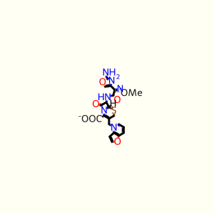 CO/N=C(\C(=O)NC1C(=O)N2C(C(=O)[O-])=C(C[n+]3cccc4occc43)CS[C@H]12)c1coc(N)n1